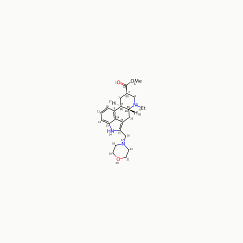 CCN1C[C@H](C(=O)OC)C[C@@H]2c3cccc4[nH]c(CN5CCOCC5)c(c34)C[C@H]21